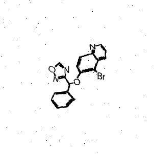 Brc1c(OC(c2ccccc2)c2ncon2)ccc2ncccc12